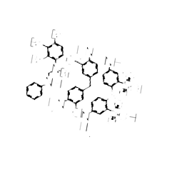 Brc1ccc(N(Br)CNc2ccccc2)c(Br)c1Br.Nc1ccc(Cc2ccc(N)c(Cl)c2)cc1Cl.Nc1ccc(Sc2ccc(N)cc2S(=O)(=O)O)c(S(=O)(=O)O)c1